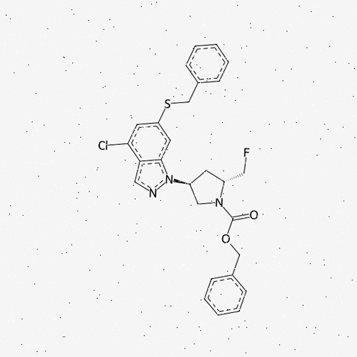 O=C(OCc1ccccc1)N1C[C@@H](n2ncc3c(Cl)cc(SCc4ccccc4)cc32)C[C@@H]1CF